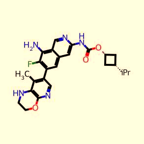 Cc1c(-c2cc3cc(NC(=O)O[C@H]4C[C@@H](C(C)C)C4)ncc3c(N)c2F)cnc2c1NCCO2